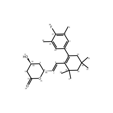 Cc1cc(C2=C(C=C[C@H]3C[C@H](O)CC(=O)O3)C(C)(C)CC(C)(C)C2)cc(C)c1F